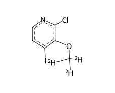 [2H]C([2H])([2H])Oc1c(I)ccnc1Cl